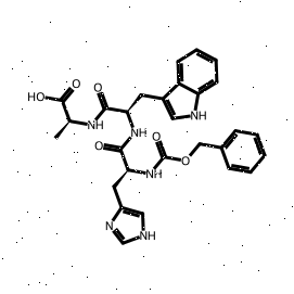 C[C@H](NC(=O)[C@@H](Cc1c[nH]c2ccccc12)NC(=O)[C@H](Cc1c[nH]cn1)NC(=O)OCc1ccccc1)C(=O)O